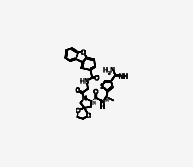 C[C@@H](NC(=O)[C@@H]1CC2(CN1C(=O)CNC(=O)c1ccc3oc4ccccc4c3c1)OCCO2)c1cc(C(=N)N)cs1